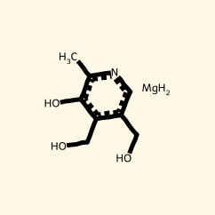 Cc1ncc(CO)c(CO)c1O.[MgH2]